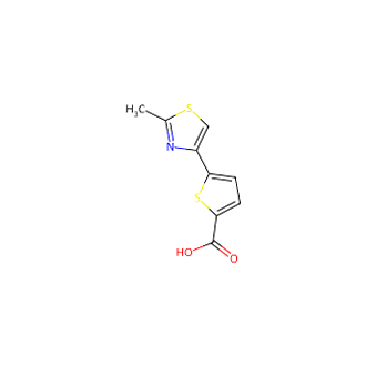 Cc1nc(-c2ccc(C(=O)O)s2)cs1